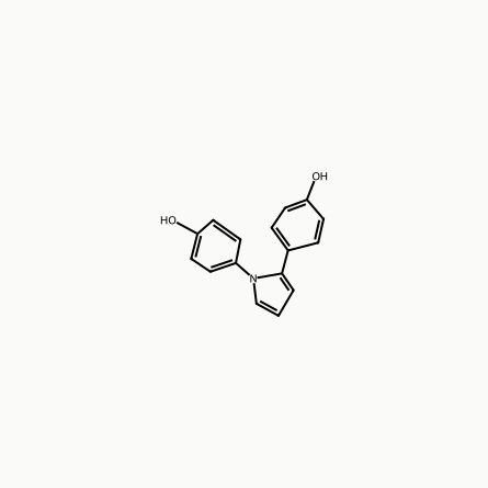 Oc1ccc(-c2cccn2-c2ccc(O)cc2)cc1